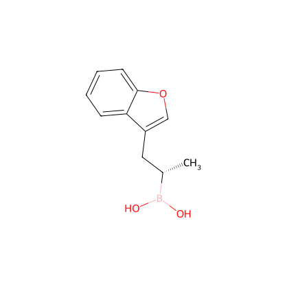 C[C@@H](Cc1coc2ccccc12)B(O)O